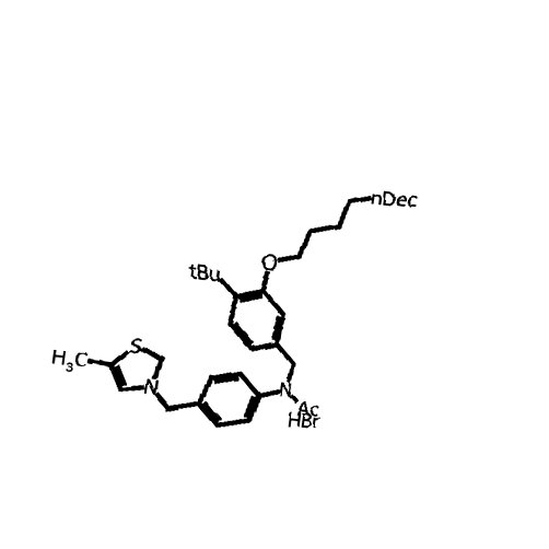 Br.CCCCCCCCCCCCCCOc1cc(CN(C(C)=O)c2ccc(CN3C=C(C)SC3)cc2)ccc1C(C)(C)C